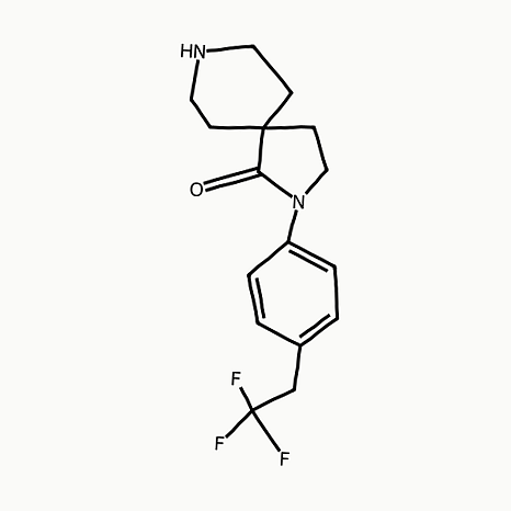 O=C1N(c2ccc(CC(F)(F)F)cc2)CCC12CCNCC2